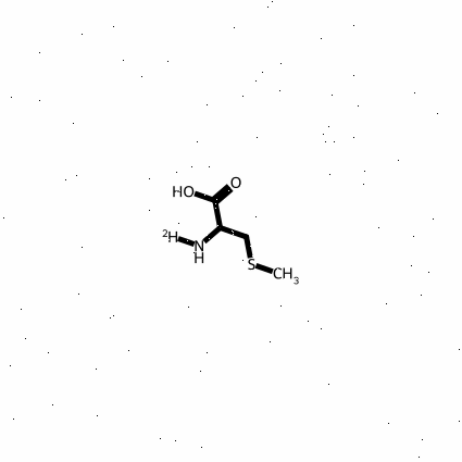 [2H]NC(CSC)C(=O)O